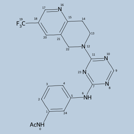 CC(=O)Nc1cccc(Nc2ncnc(N3CCc4ncc(C(F)(F)F)cc4C3)n2)c1